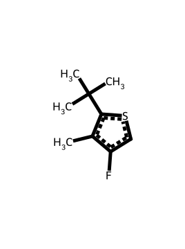 Cc1c(F)csc1C(C)(C)C